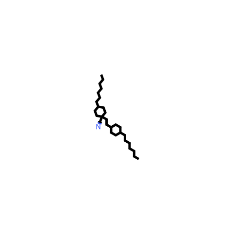 CCCCCCCC1CCC(CCC2(C#N)CCC(CCCCCCC)CC2)CC1